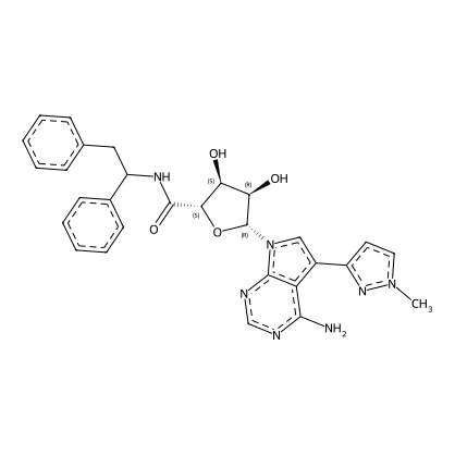 Cn1ccc(-c2cn([C@@H]3O[C@H](C(=O)NC(Cc4ccccc4)c4ccccc4)[C@@H](O)[C@H]3O)c3ncnc(N)c23)n1